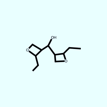 CCC1OCC1C(O)C1COC1CC